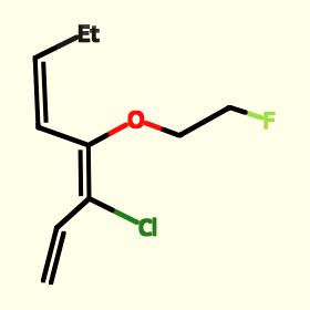 C=C/C(Cl)=C(\C=C/CC)OCCF